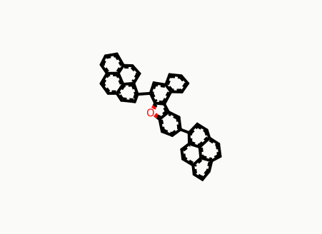 c1ccc2c(c1)cc(-c1ccc3ccc4cccc5ccc1c3c45)c1oc3ccc(-c4ccc5ccc6cccc7ccc4c5c67)cc3c12